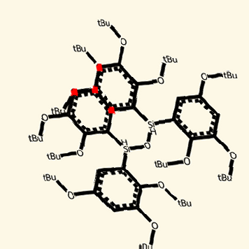 CC(C)(C)Oc1cc(OC(C)(C)C)c(OC(C)(C)C)c([SiH](O[SiH](c2cc(OC(C)(C)C)cc(OC(C)(C)C)c2OC(C)(C)C)c2cc(OC(C)(C)C)cc(OC(C)(C)C)c2OC(C)(C)C)c2cc(OC(C)(C)C)cc(OC(C)(C)C)c2OC(C)(C)C)c1